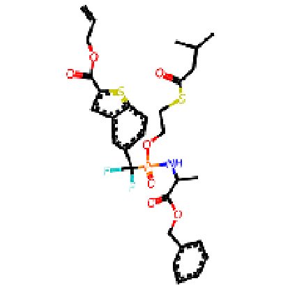 C=CCOC(=O)c1cc2cc(C(F)(F)P(=O)(NC(C)C(=O)OCc3ccccc3)OCCSC(=O)CC(C)C)ccc2s1